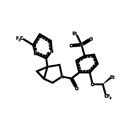 CC[C@@H](Oc1ccc(S(=O)(=O)CC)cc1C(=O)N1CC2CC2(c2nccc(C(F)(F)F)n2)C1)C(F)(F)F